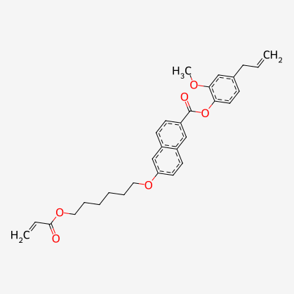 C=CCc1ccc(OC(=O)c2ccc3cc(OCCCCCCOC(=O)C=C)ccc3c2)c(OC)c1